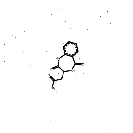 O=C(O)C[C@@H]1NC(=O)c2ccccc2NC1=O